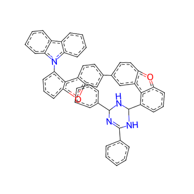 c1ccc(C2=NC(c3ccccc3)NC(c3cccc4oc5ccc(-c6ccc7c(c6)oc6cccc(-n8c9ccccc9c9ccccc98)c67)cc5c34)N2)cc1